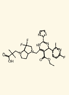 CCOC(=O)C1=C(CN2CC(F)(F)C3C2CCN3CC(C)(C)C(=O)O)NC(c2nccs2)=NC1c1ccc(F)nc1C